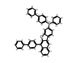 c1ccc(-c2ccc(-c3c4ccccc4cc4c3oc3cc(N(c5ccccc5)c5ccc(-c6ccccc6)cc5)ccc34)cc2)cc1